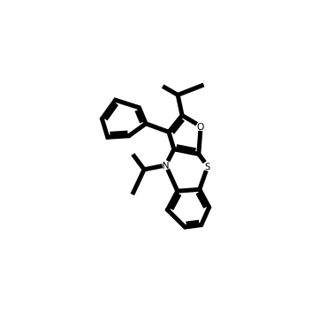 CC(C)c1oc2c(c1-c1ccccc1)N(C(C)C)c1ccccc1S2